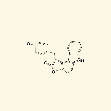 COc1ccc(Cn2c(=O)oc3ccc4[nH]c5ccccc5c4c32)cc1